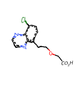 O=C(O)COCCc1ccc(Cl)c2nccnc12